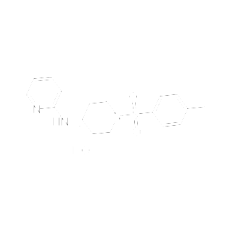 Cc1ccc(S(=O)(=O)N2CC[C@@H](Nc3ccccn3)[C@@H](O)C2)cc1